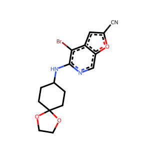 N#Cc1cc2c(Br)c(NC3CCC4(CC3)OCCO4)ncc2o1